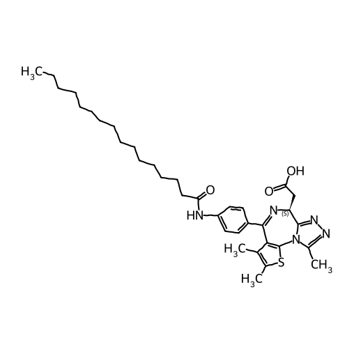 CCCCCCCCCCCCCCCC(=O)Nc1ccc(C2=N[C@@H](CC(=O)O)c3nnc(C)n3-c3sc(C)c(C)c32)cc1